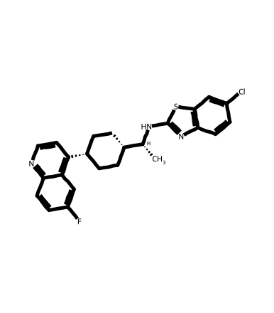 C[C@@H](Nc1nc2ccc(Cl)cc2s1)[C@H]1CC[C@@H](c2ccnc3ccc(F)cc32)CC1